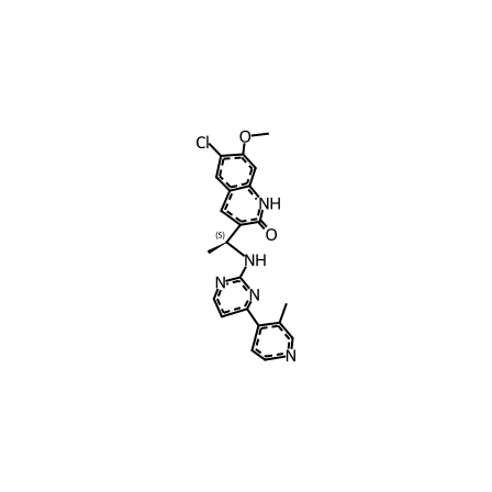 COc1cc2[nH]c(=O)c([C@H](C)Nc3nccc(-c4ccncc4C)n3)cc2cc1Cl